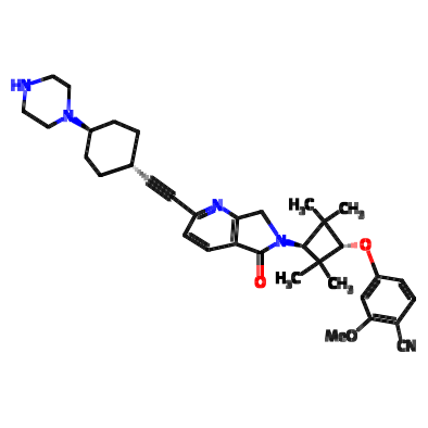 COc1cc(O[C@H]2C(C)(C)[C@H](N3Cc4nc(C#C[C@H]5CC[C@H](N6CCNCC6)CC5)ccc4C3=O)C2(C)C)ccc1C#N